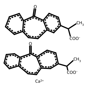 CC(C(=O)[O-])c1ccc2c(=O)c3ccccc3ccc2c1.CC(C(=O)[O-])c1ccc2c(=O)c3ccccc3ccc2c1.[Ca+2]